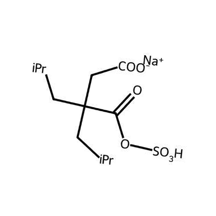 CC(C)CC(CC(=O)[O-])(CC(C)C)C(=O)OS(=O)(=O)O.[Na+]